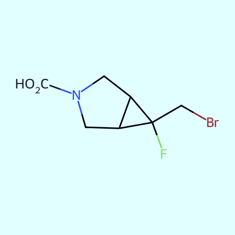 O=C(O)N1CC2C(C1)C2(F)CBr